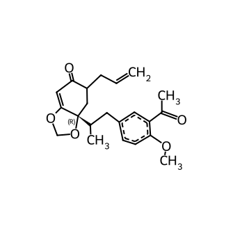 C=CCC1C[C@]2(C(C)Cc3ccc(OC)c(C(C)=O)c3)OCOC2=CC1=O